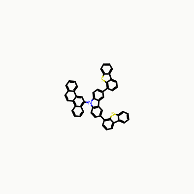 c1ccc2c(c1)ccc1c3ccccc3c(-n3c4ccc(-c5cccc6c5sc5ccccc56)cc4c4cc(-c5cccc6c5sc5ccccc56)ccc43)cc21